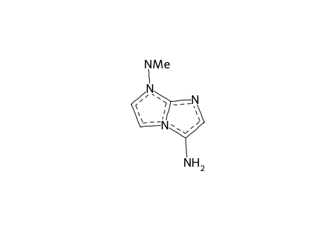 CNn1ccn2c(N)cnc12